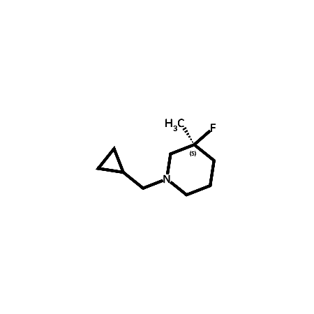 C[C@]1(F)CCCN(CC2CC2)C1